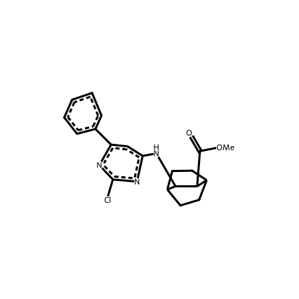 COC(=O)C1C2CCC(CC2)C1Nc1cc(-c2ccccc2)nc(Cl)n1